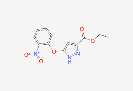 CCOC(=O)c1cc(Oc2ccccc2[N+](=O)[O-])[nH]n1